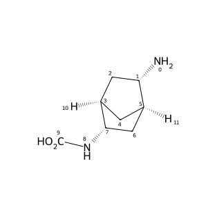 N[C@H]1C[C@H]2C[C@@H]1C[C@@H]2NC(=O)O